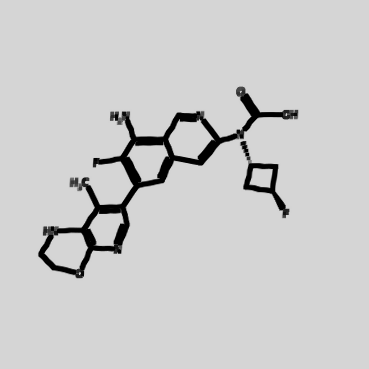 Cc1c(-c2cc3cc(N(C(=O)O)[C@H]4C[C@H](F)C4)ncc3c(N)c2F)cnc2c1NCCO2